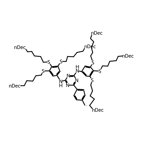 [CH2]c1ccc(-c2nc(Nc3cc(SCCCCCCCCCCCCCCC)c(SCCCCCCCCCCCCCCC)c(SCCCCCCCCCCCCCCC)c3)nc(Nc3cc(SCCCCCCCCCCCCCCC)c(SCCCCCCCCCCCCCCC)c(SCCCCCCCCCCCCCCC)c3)n2)cc1